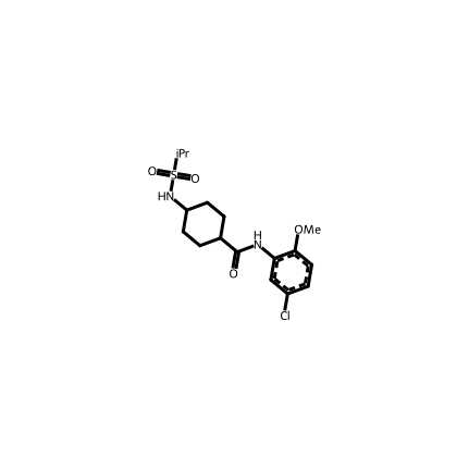 COc1ccc(Cl)cc1NC(=O)C1CCC(NS(=O)(=O)C(C)C)CC1